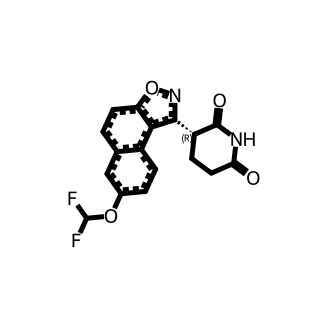 O=C1CC[C@H](c2noc3ccc4cc(OC(F)F)ccc4c23)C(=O)N1